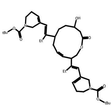 CC/C(=C\C1=CCCN(C(=O)OC(C)(C)C)C1)C1[CH]C=CC(/C(=C/C2=CCCN(C(=O)OC(C)(C)C)C2)CC)COC(=O)CC(O)CC1